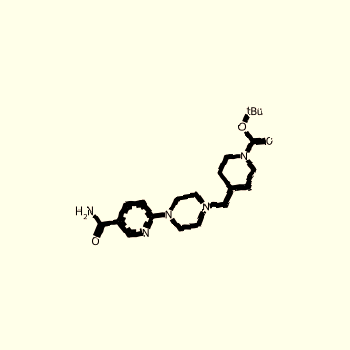 CC(C)(C)OC(=O)N1CCC(CN2CCN(c3ccc(C(N)=O)cn3)CC2)CC1